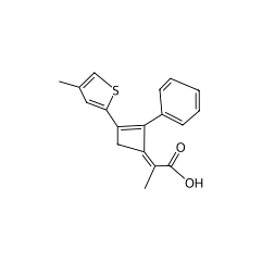 CC(C(=O)O)=C1CC(c2cc(C)cs2)=C1c1ccccc1